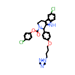 O=C(Oc1ccc(Cl)cc1)N1CCc2c([nH]c3ccc(Cl)cc23)C1c1ccc(OCCCCn2cncn2)cc1